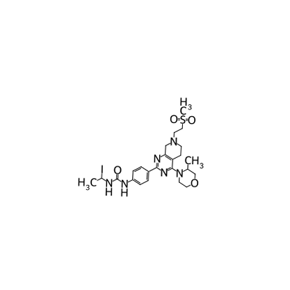 CC(I)NC(=O)Nc1ccc(-c2nc3c(c(N4CCOCC4C)n2)CCN(CCS(C)(=O)=O)C3)cc1